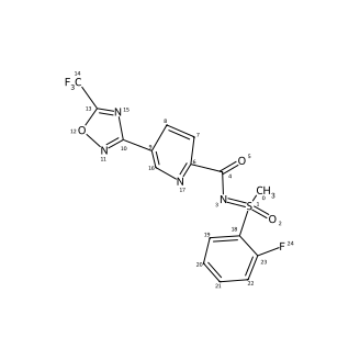 CS(=O)(=NC(=O)c1ccc(-c2noc(C(F)(F)F)n2)cn1)c1ccccc1F